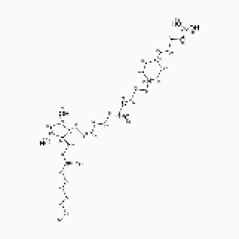 CCCCCCCC(=O)CC[C@@H]1[C@@H](C/C=C\CCCC(=O)OCCCN2CCC(CCCON(O)O)CC2)[C@@H](O)C[C@H]1O